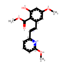 COC(=O)c1c(O)cc(OC)cc1/C=C/c1cccc(OC)n1